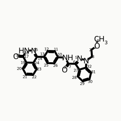 COCCn1nc(C(=O)Nc2ccc(-c3n[nH]c(=O)c4ccccc34)cc2)c2ccccc21